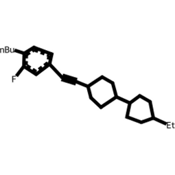 CCCCc1ccc(C#CC2CCC(C3CCC(CC)CC3)CC2)cc1F